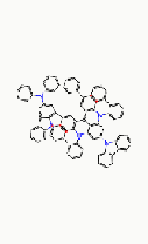 c1ccc(-c2ccc3c(c2)B2c4cc5c6cc(N(c7ccccc7)c7ccccc7)cc7c8ccccc8n(c5cc4N(c4ccccc4-c4ccccc4)c4cc(-n5c8ccccc8c8ccccc85)cc(c42)N3c2ccccc2-c2ccccc2)c76)cc1